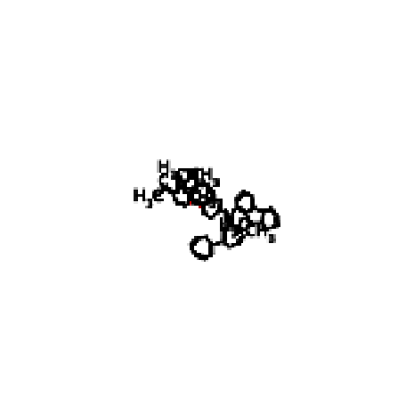 CC(C)=C(/C=C\C(C)C1=CCC(N(C2=CC=CCC(C3=CC=CC=CC3)=C2)c2cccc3c2C(C)(C)c2ccccc2-3)C=C1)N(C)C1=C(C)C=CCC=C1